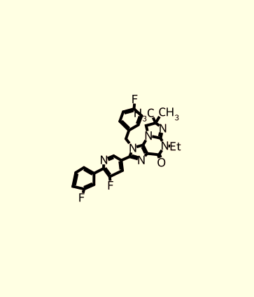 CCN1C(=O)c2nc(-c3cnc(-c4cccc(F)c4)c(F)c3)n(Cc3ccc(F)cc3)c2N2CC(C)(C)N=C12